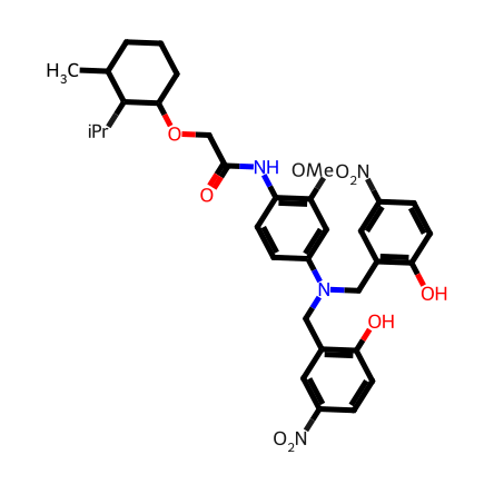 COc1cc(N(Cc2cc([N+](=O)[O-])ccc2O)Cc2cc([N+](=O)[O-])ccc2O)ccc1NC(=O)COC1CCCC(C)C1C(C)C